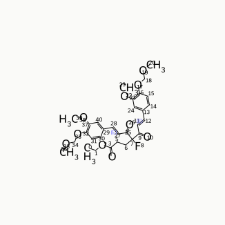 CCOC(=O)CCC(F)(C(=O)/C=C/c1ccc(OCOC)c(OC)c1)C(=O)/C=C/c1ccc(OCOC)c(OC)c1